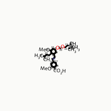 COc1cc(/C=C/c2cc(OCOCC[Si](C)(C)C)cc(OC)c2CC=C(C)C)ccc1C(=O)O